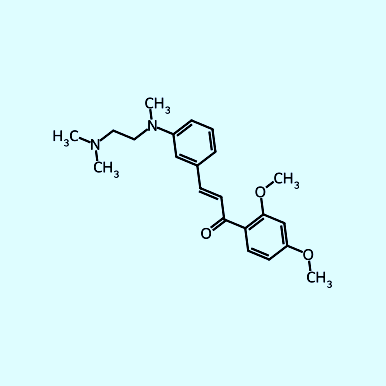 COc1ccc(C(=O)/C=C/c2cccc(N(C)CCN(C)C)c2)c(OC)c1